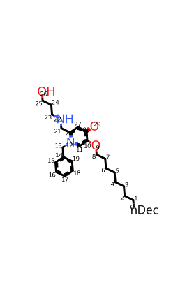 CCCCCCCCCCCCCCCCCCOc1cn(Cc2ccccc2)c(CNCCCO)cc1=O